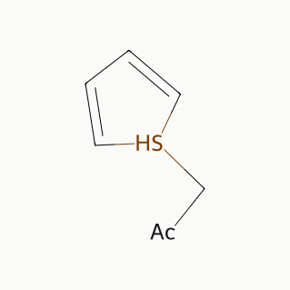 CC(=O)C[SH]1C=CC=C1